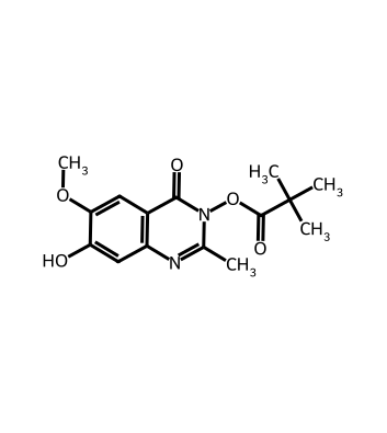 COc1cc2c(=O)n(OC(=O)C(C)(C)C)c(C)nc2cc1O